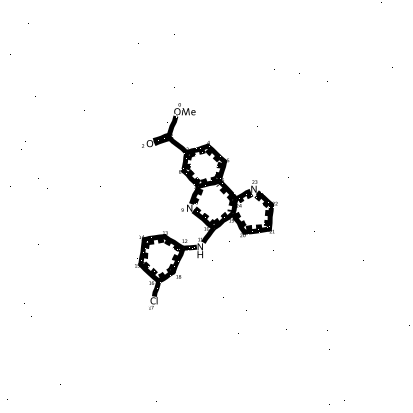 COC(=O)c1ccc2c(c1)nc(Nc1cccc(Cl)c1)c1cccnc12